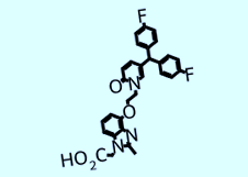 Cc1nc2c(OCCn3cc(C(c4ccc(F)cc4)c4ccc(F)cc4)ccc3=O)cccc2n1CC(=O)O